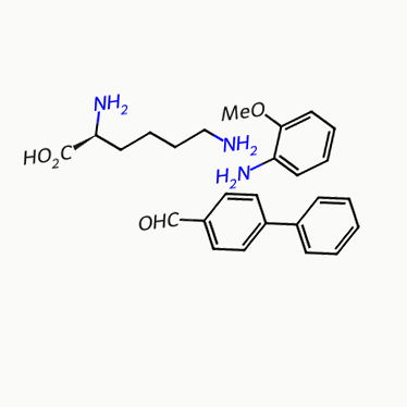 COc1ccccc1N.NCCCC[C@H](N)C(=O)O.O=Cc1ccc(-c2ccccc2)cc1